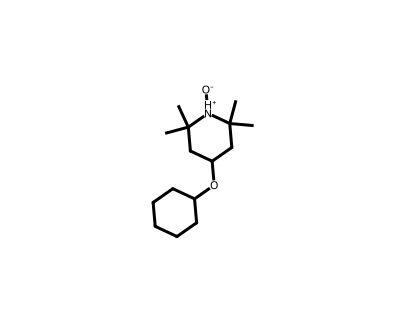 CC1(C)CC(OC2CCCCC2)CC(C)(C)[NH+]1[O-]